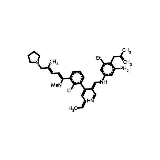 C=C(C)Cc1c(P)cc(N/C=C(C=N)/C(=C\C=C/C)c2cccc(/C(=C/C=C(\C)CN3CCCC3)NC)c2Cl)cc1CC